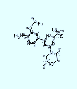 CC(F)Oc1cc(-c2cc(N3C[C@H](C)OC[C@@H]3C)nc(S(C)(=O)=O)n2)cnc1N